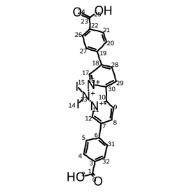 O=C(O)c1ccc(-c2ccc3[n+](c2)[N+](I)(I)[n+]2cc(-c4ccc(C(=O)O)cc4)ccc2-3)cc1